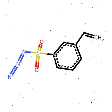 C=Cc1cccc(S(=O)(=O)N=[N+]=[N-])c1